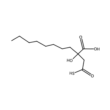 CCCCCCCCC(O)(CC(=O)S)C(=O)O